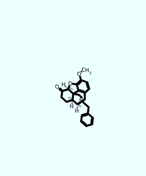 COc1ccc2c3c1O[C@@H]1C(=O)CC[C@@H]4[C@H](C2)N(Cc2ccccc2)CCC314